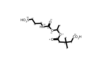 CC(OC(=O)CC(C)(C)CC(=O)O)OC(=O)NCCCS(=O)(=O)O